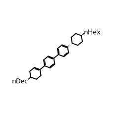 CCCCCCCCCCC1CC=C(c2ccc(-c3ccc([C@H]4CC[C@H](CCCCCC)CC4)cc3)cc2)CC1